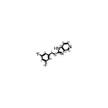 Fc1cc(F)cc(CSc2nc3cnccc3[nH]2)c1